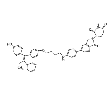 CCC(=C(c1ccc(O)cc1)c1ccc(OCCCCNc2ccc(-c3ccc4c(c3)CN(C3CCC(=O)NC3=O)C4=O)cc2)cc1)c1ccccc1